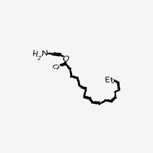 CC/C=C\C/C=C\C/C=C\CCCCCCCC(=O)OC#CN